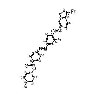 CCN1CCc2cc(N=Nc3ccc(N=Nc4ccc(C(=O)Oc5ccc(C)cc5)cc4)cc3C)ccc21